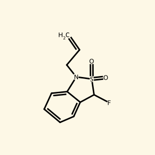 C=CCN1c2ccccc2C(F)S1(=O)=O